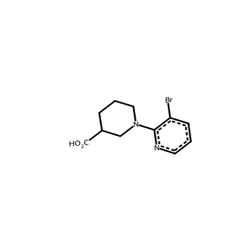 O=C(O)C1CCCN(c2ncccc2Br)C1